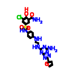 NC(=O)c1cc(S(=O)(=O)Nc2ccc(NCCNc3nc(N)n4nc(-c5ccco5)nc4n3)cc2)cc(Cl)c1O